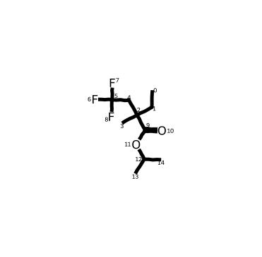 CCC(C)(CC(F)(F)F)C(=O)OC(C)C